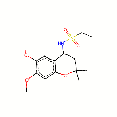 CCS(=O)(=O)NC1CC(C)(C)Oc2cc(OC)c(OC)cc21